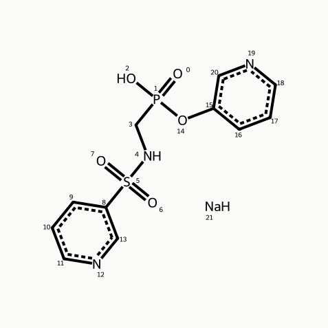 O=P(O)(CNS(=O)(=O)c1cccnc1)Oc1cccnc1.[NaH]